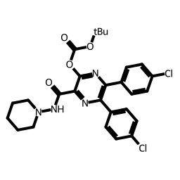 CC(C)(C)OC(=O)Oc1nc(-c2ccc(Cl)cc2)c(-c2ccc(Cl)cc2)nc1C(=O)NN1CCCCC1